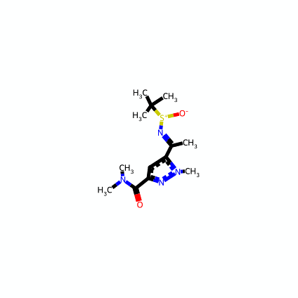 CC(=N[S+]([O-])C(C)(C)C)c1cc(C(=O)N(C)C)nn1C